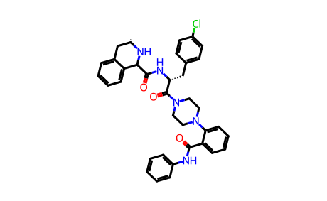 O=C(Nc1ccccc1)c1ccccc1N1CCN(C(=O)[C@@H](Cc2ccc(Cl)cc2)NC(=O)C2N[CH]Cc3ccccc32)CC1